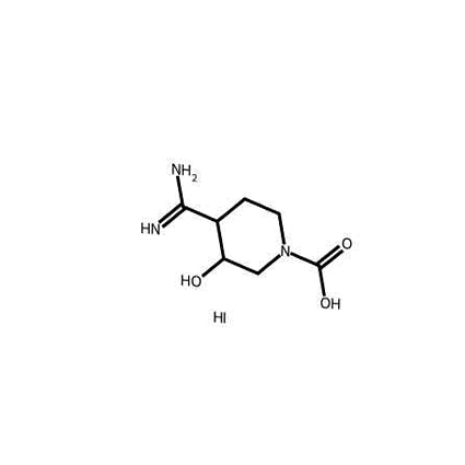 I.N=C(N)C1CCN(C(=O)O)CC1O